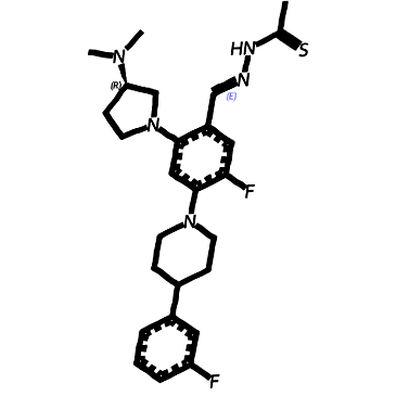 CC(=S)N/N=C/c1cc(F)c(N2CCC(c3cccc(F)c3)CC2)cc1N1CC[C@@H](N(C)C)C1